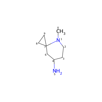 CN1CCC(N)CC12CC2